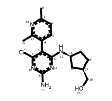 Cc1ccc(-c2c(Cl)nc(N)nc2N[C@H]2CC[C@@H](CO)C2)c(C)n1